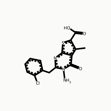 Cc1c(C(=O)O)sc2nc(Cc3ccccc3Cl)n(N)c(=O)c12